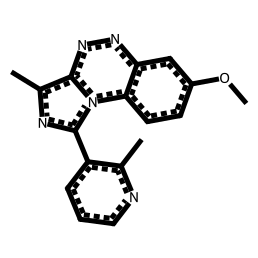 COc1ccc2c(c1)nnc1c(C)nc(-c3cccnc3C)n12